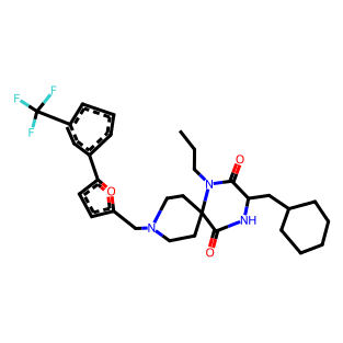 CCCN1C(=O)C(CC2CCCCC2)NC(=O)C12CCN(Cc1ccc(-c3cccc(C(F)(F)F)c3)o1)CC2